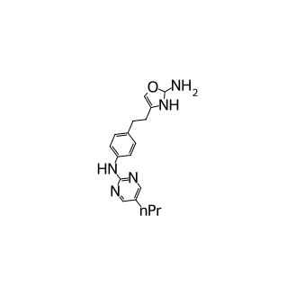 CCCc1cnc(Nc2ccc(CCC3=COC(N)N3)cc2)nc1